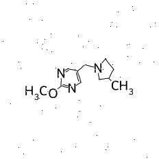 COc1ncc(CN2CCC(C)C2)cn1